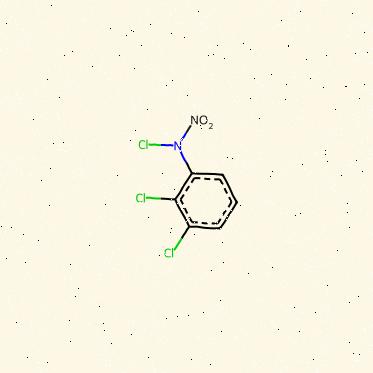 O=[N+]([O-])N(Cl)c1cccc(Cl)c1Cl